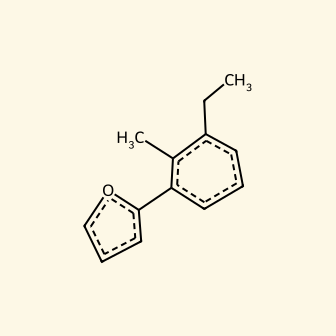 CCc1cccc(-c2ccco2)c1C